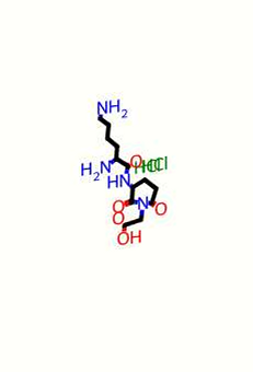 Cl.Cl.NCCCCC(N)C(=O)NC1CCC(=O)N(CC(=O)O)C1=O